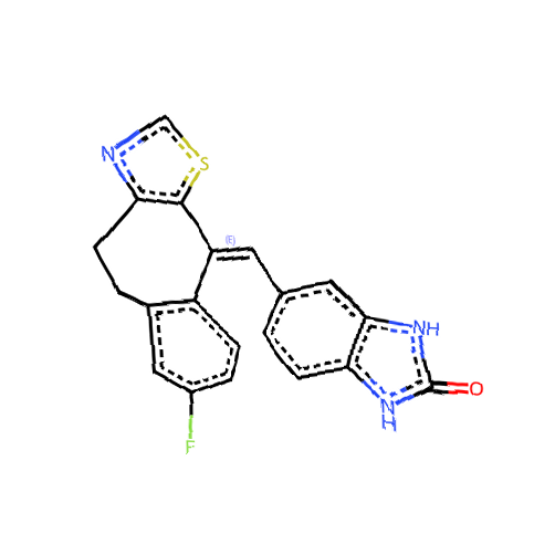 O=c1[nH]c2ccc(/C=C3\c4ccc(F)cc4CCc4ncsc43)cc2[nH]1